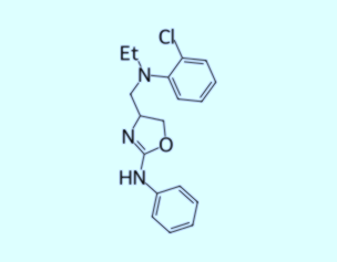 CCN(CC1COC(Nc2ccccc2)=N1)c1ccccc1Cl